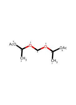 CC(=O)OC(C)O[CH]OC(C)OC(C)=O